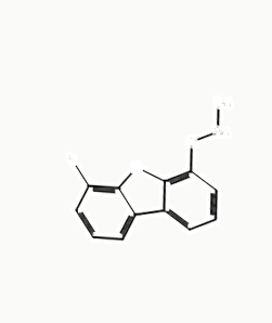 OBOc1cccc2c1oc1c(F)cccc12